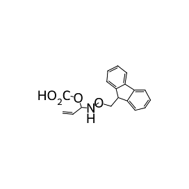 C=CC(NOCC1c2ccccc2-c2ccccc21)OC(=O)O